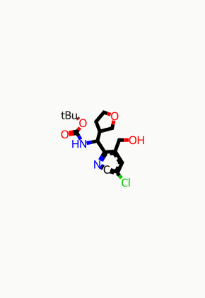 CC(C)(C)OC(=O)NC(c1ncc(Cl)cc1CO)C1CCOC1